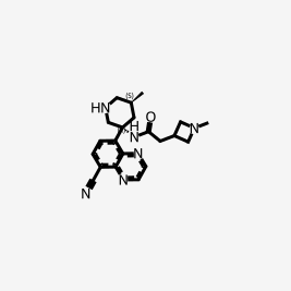 C[C@@H]1CNC[C@](NC(=O)CC2CN(C)C2)(c2ccc(C#N)c3nccnc23)C1